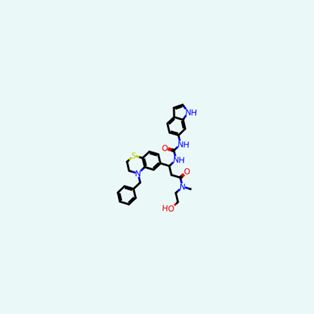 CN(CCO)C(=O)CC(NC(=O)Nc1ccc2cc[nH]c2c1)c1ccc2c(c1)N(Cc1ccccc1)CCS2